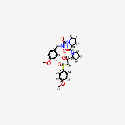 COc1ccc(CNC(=O)N2CCC[C@H]2C(=O)N2CCC[C@H]2C(=O)C[S+]([O-])c2ccc(OC)cc2)cc1